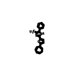 Cc1nc(-c2ccc(C3=CCC=CC=C3)o2)[nH]c1-c1ccccc1